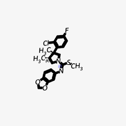 CS/C(=N/c1ccc2c(c1)OCO2)N1C[C@H](C)[C@@](C)(c2ccc(F)cc2Cl)C1